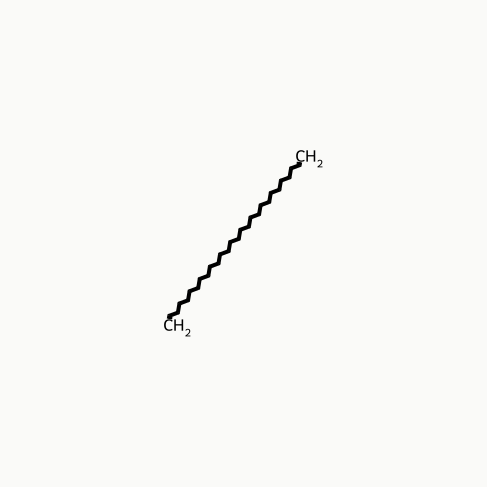 C=CCCCCCCCCCCCCCCCCCCCCCCCCC=C